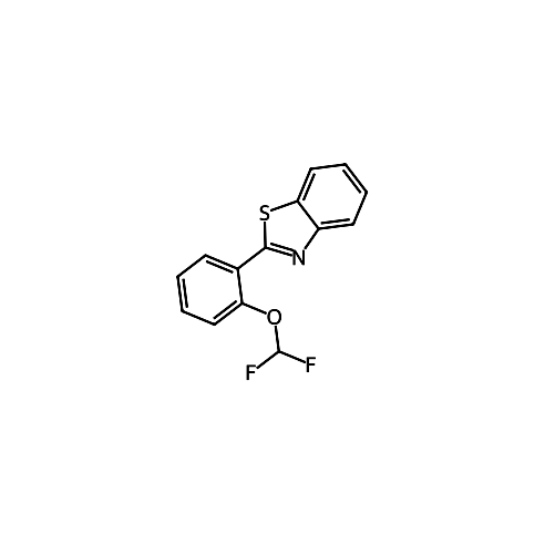 FC(F)Oc1ccccc1-c1nc2ccccc2s1